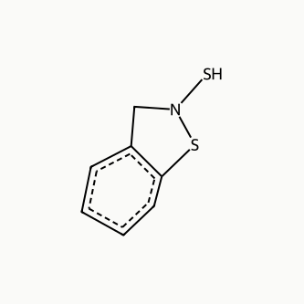 SN1Cc2ccccc2S1